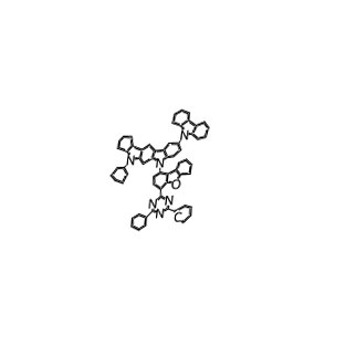 c1ccc(-c2nc(-c3ccccc3)nc(-c3ccc(-n4c5ccc(-n6c7ccccc7c7ccccc76)cc5c5cc6c7ccccc7n(-c7ccccc7)c6cc54)c4c3oc3ccccc34)n2)cc1